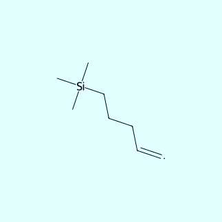 [CH]=CCCC[Si](C)(C)C